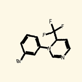 FC(F)(F)C1C=CN=CN1c1cccc(Br)c1